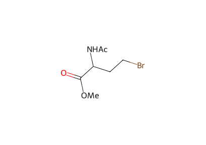 COC(=O)C(CCBr)NC(C)=O